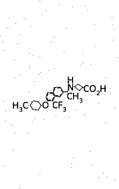 CC(N[C@H]1C[C@H](C(=O)O)C1)c1ccc2ccc(O[C@H]3CC[C@@H](C)CC3)c(C(F)(F)F)c2c1